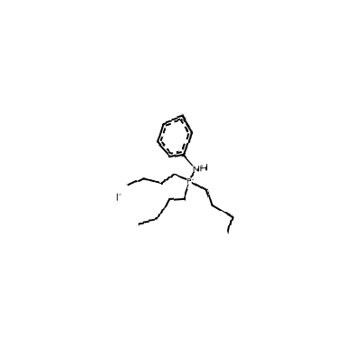 CCCC[P+](CCCC)(CCCC)Nc1ccccc1.[I-]